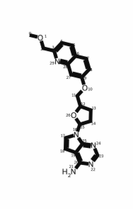 COCc1ccc2ccc(OCC3CCC(n4ccc5c(N)ncnc54)O3)cc2n1